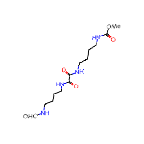 COC(=O)NCCCCNC(=O)C(=O)NCCCCNC=O